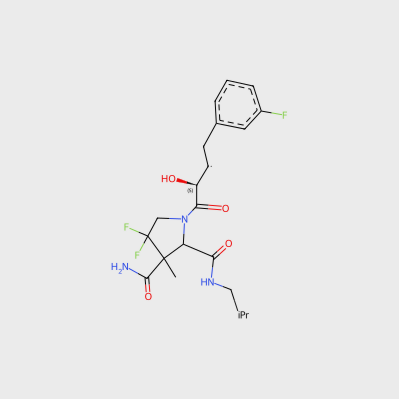 CC(C)CNC(=O)C1N(C(=O)[C@@H](O)[CH]Cc2cccc(F)c2)CC(F)(F)C1(C)C(N)=O